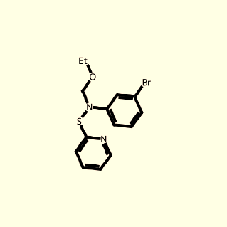 CCOCN(Sc1ccccn1)c1cccc(Br)c1